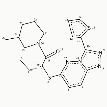 CC[C@@H](Sc1ccc2nnc(-c3cccs3)n2n1)C(=O)N1CCCC(C)C1